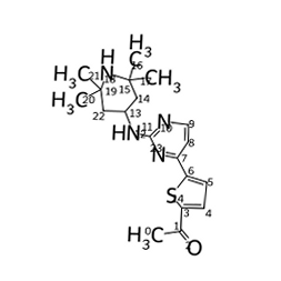 CC(=O)c1ccc(-c2ccnc(NC3CC(C)(C)NC(C)(C)C3)n2)s1